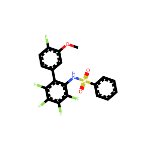 COc1cc(-c2c(F)c(F)c(F)c(F)c2NS(=O)(=O)c2ccccc2)ccc1F